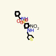 O=C(NS(=O)(=O)c1ccc(NCC2CCSCC2)c([N+](=O)[O-])c1)c1ccccc1